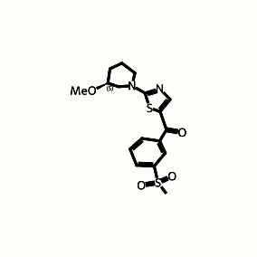 CO[C@H]1CCCN(c2ncc(C(=O)c3cccc(S(C)(=O)=O)c3)s2)C1